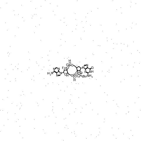 CC(C)(C)[Si](C)(C)OC1[C@H](n2cnc3c(=O)[nH]c(N)nc32)C[C@]2(C)COP(=O)(O)O[C@H]3[C@@H](F)[C@H](n4cnc5c(N)ncnc54)O[C@@H]3COP(=O)(O)O[C@@H]12